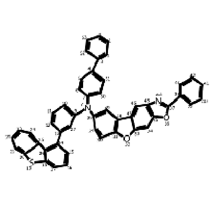 c1ccc(-c2ccc(N(c3cccc(-c4cccc5sc6ccccc6c45)c3)c3ccc4oc5cc6oc(-c7ccccc7)nc6cc5c4c3)cc2)cc1